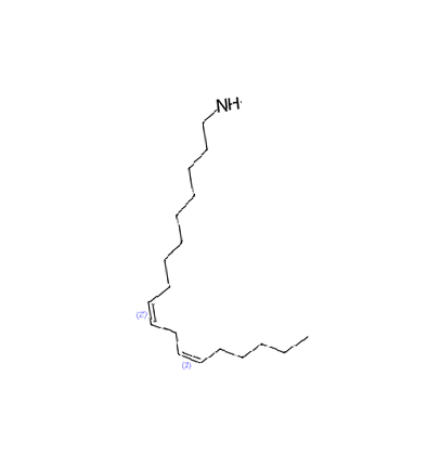 CCCCC/C=C\C/C=C\CCCCCCCC[NH]